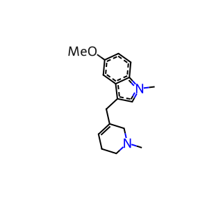 COc1ccc2c(c1)c(CC1=CCCN(C)C1)cn2C